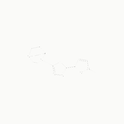 Cn1ccc(-c2nnc(N3CCN4CCC3CC4)s2)n1